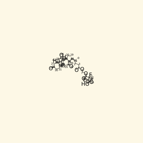 C[C@H](CCC(=O)OCOC(=O)C(F)(F)S(=O)(=O)O)[C@H]1CC[C@H]2[C@@H]3C(=O)C[C@@H]4CC(=O)CC[C@]4(C)[C@H]3CC(=O)[C@]12C